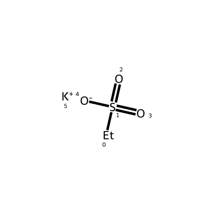 CCS(=O)(=O)[O-].[K+]